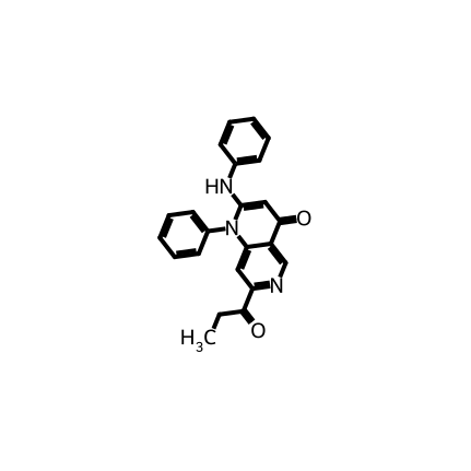 CCC(=O)c1cc2c(cn1)c(=O)cc(Nc1ccccc1)n2-c1ccccc1